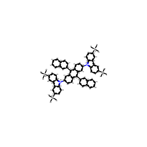 C[Si](C)(C)c1ccc2c(c1)c1cc([Si](C)(C)C)ccc1n2-c1ccc2c(-c3ccc4ccccc4c3)c3cc(-n4c5ccc([Si](C)(C)C)cc5c5cc([Si](C)(C)C)ccc54)ccc3c(-c3ccc4ccccc4c3)c2c1